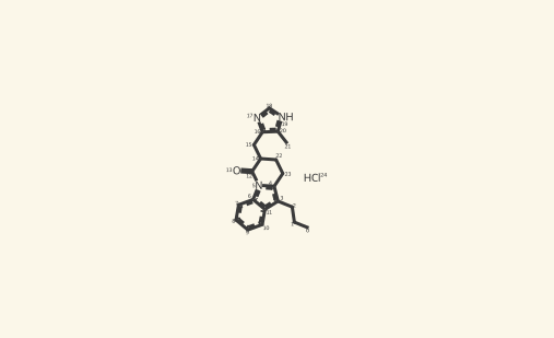 CCCc1c2n(c3ccccc13)C(=O)C(Cc1nc[nH]c1C)CC2.Cl